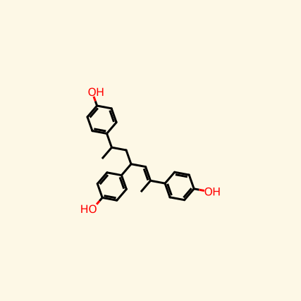 CC(=CC(CC(C)c1ccc(O)cc1)c1ccc(O)cc1)c1ccc(O)cc1